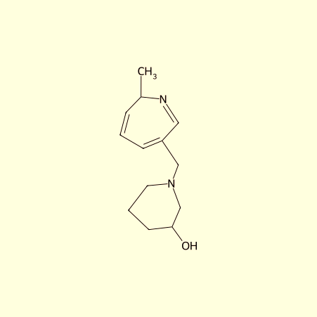 CC1C=CC=C(CN2CCCC(O)C2)C=N1